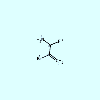 C=C(Br)C(N)F